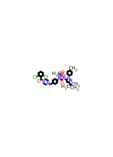 Cc1ccc(-n2nc(C(C)(C)C)cc2N(OS(C)(=O)=O)C(=O)Nc2ccc(CN3CCN(C(=O)c4c(Cl)cccc4Cl)CC3)cc2)cc1